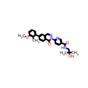 COc1cccc(-c2ccc3c(=O)n(-c4ccc(C(=O)NCC(C)(C)O)cn4)ncc3c2)c1C